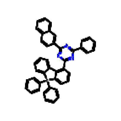 c1ccc(-c2nc(-c3ccc4ccccc4c3)nc(-c3cccc4c3-c3ccccc3[Si]4(c3ccccc3)c3ccccc3)n2)cc1